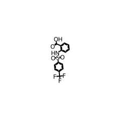 O=C(O)c1ccccc1NS(=O)(=O)c1ccc(C(F)(F)F)cc1